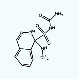 NNC1(S(=O)(=O)NC(N)=O)NN=Cc2ccccc21